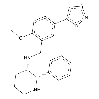 COc1ccc(-c2csnn2)cc1CN[C@H]1CCCN[C@H]1c1ccccc1